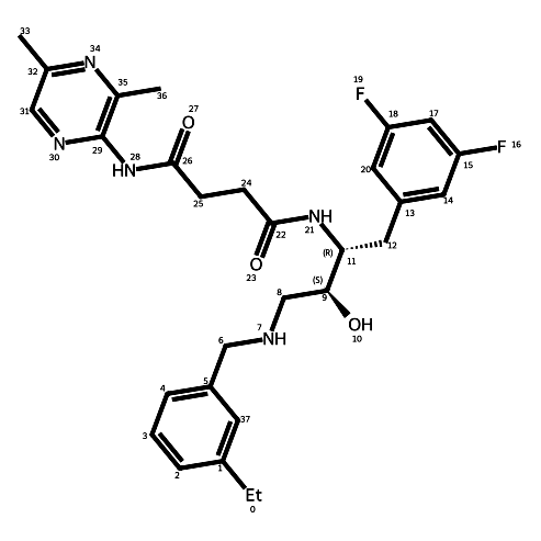 CCc1cccc(CNC[C@H](O)[C@@H](Cc2cc(F)cc(F)c2)NC(=O)CCC(=O)Nc2ncc(C)nc2C)c1